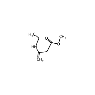 C=C(CC(=O)OC)NCC